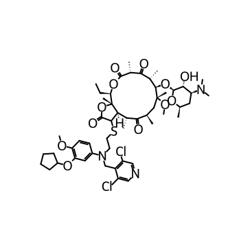 CC[C@H]1OC(=O)[C@H](C)C(=O)[C@H](C)[C@@H](O[C@@H]2O[C@H](C)C[C@H](N(C)C)[C@H]2O)[C@](C)(OC)C[C@@H](C)C(=O)[C@H](C)[C@H]2C(SCCN(Cc3c(Cl)cncc3Cl)c3ccc(OC)c(OC4CCCC4)c3)C(=O)O[C@@]21C